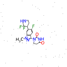 Cn1nc(N2CCC(=O)NC2=O)c2cc(F)c(C3CCNCC3(F)F)cc21